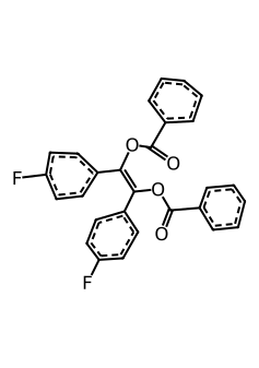 O=C(OC(=C(OC(=O)c1ccccc1)c1ccc(F)cc1)c1ccc(F)cc1)c1ccccc1